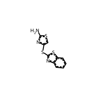 Nc1nc(Sc2nc3ccccc3s2)cs1